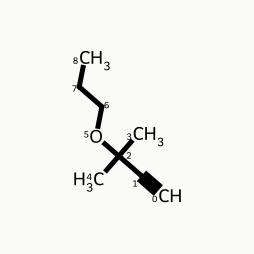 C#CC(C)(C)OCCC